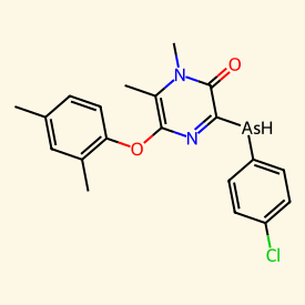 Cc1ccc(Oc2nc([AsH]c3ccc(Cl)cc3)c(=O)n(C)c2C)c(C)c1